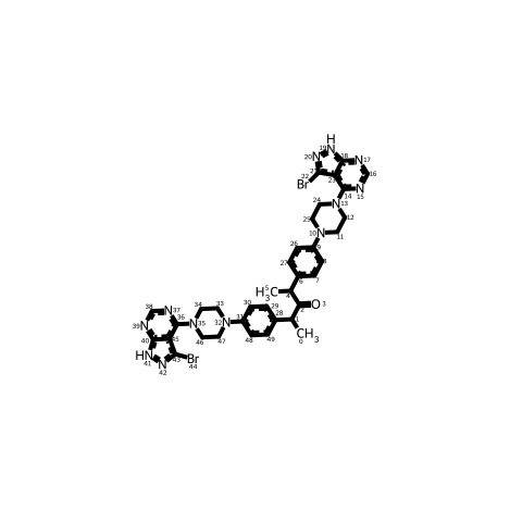 CC(C(=O)C(C)c1ccc(N2CCN(c3ncnc4[nH]nc(Br)c34)CC2)cc1)c1ccc(N2CCN(c3ncnc4[nH]nc(Br)c34)CC2)cc1